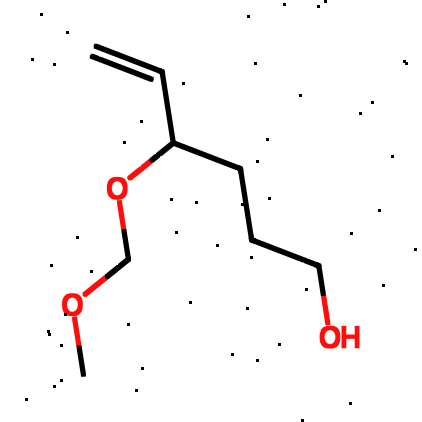 C=CC(CCCO)OCOC